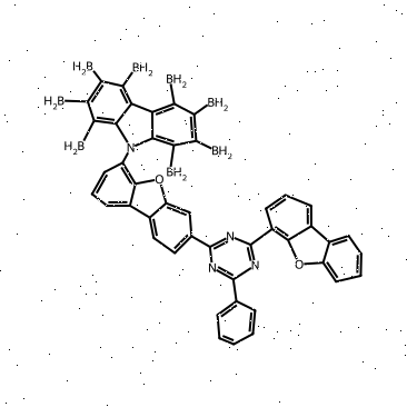 Bc1c(B)c(B)c2c(c1B)c1c(B)c(B)c(B)c(B)c1n2-c1cccc2c1oc1cc(-c3nc(-c4ccccc4)nc(-c4cccc5c4oc4ccccc45)n3)ccc12